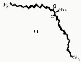 CCCCCCCCC=CCCCCCCCC(=O)N(C)C(=O)CCCCCCCC=CCCCCCCCC.I